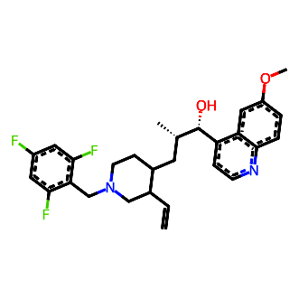 C=CC1CN(Cc2c(F)cc(F)cc2F)CCC1C[C@H](C)[C@H](O)c1ccnc2ccc(OC)cc12